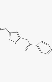 COc1csc(CC(=O)c2ccccc2)n1